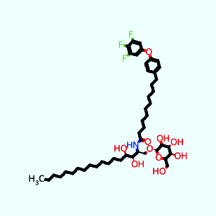 CCCCCCCCCCCCCC[C@@H](O)[C@@H](O)[C@H](CO[C@H]1OC(CO)[C@H](O)[C@H](O)C1O)NC(=O)CCCCCCCCCCc1ccc(Oc2cc(F)c(F)c(F)c2)cc1